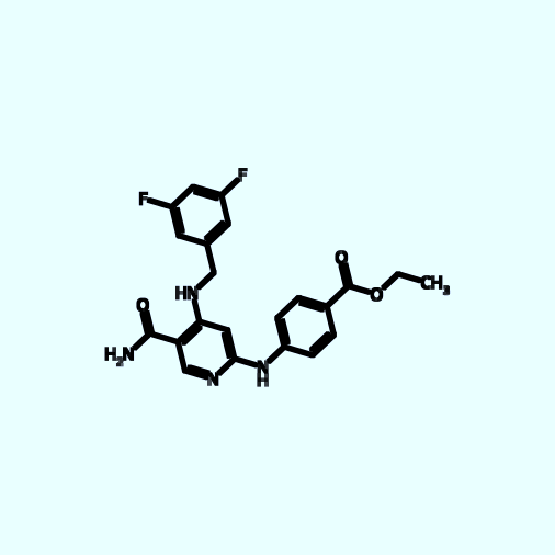 CCOC(=O)c1ccc(Nc2cc(NCc3cc(F)cc(F)c3)c(C(N)=O)cn2)cc1